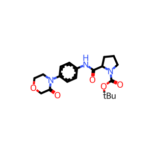 CC(C)(C)OC(=O)N1CCCC1C(=O)Nc1ccc(N2CCOCC2=O)cc1